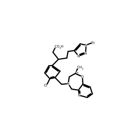 CCn1cc(CCC(CC(=O)O)c2ccc(Cl)c(CN3Cc4ncccc4O[C@H](C)C3)c2)nn1